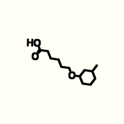 CC1CCCC(OCCCCCC(=O)O)C1